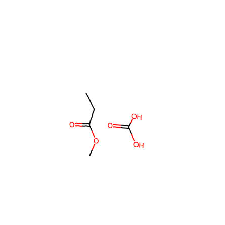 CCC(=O)OC.O=C(O)O